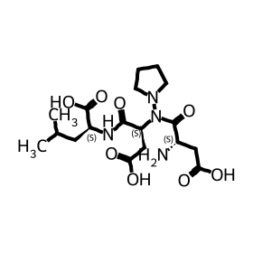 CC(C)C[C@H](NC(=O)[C@H](CC(=O)O)N(C(=O)[C@@H](N)CC(=O)O)N1CCCC1)C(=O)O